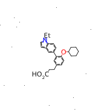 CCn1ccc2cc(-c3cc(CCC(=O)O)ccc3OC3CCCCC3)ccc21